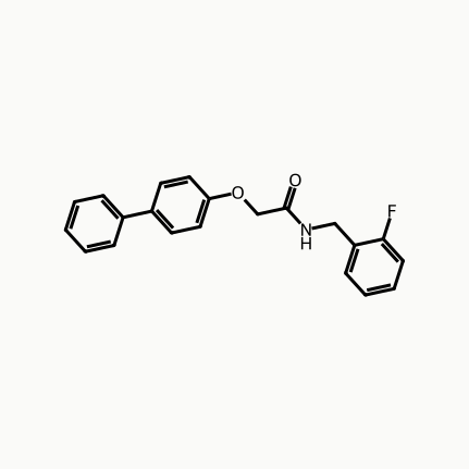 O=C(COc1ccc(-c2ccccc2)cc1)NCc1ccccc1F